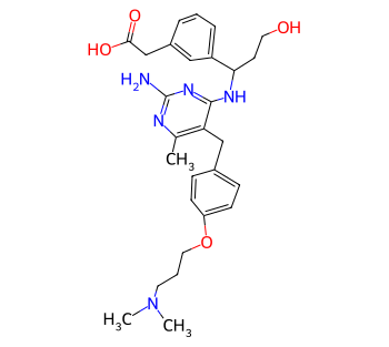 Cc1nc(N)nc(NC(CCO)c2cccc(CC(=O)O)c2)c1Cc1ccc(OCCCN(C)C)cc1